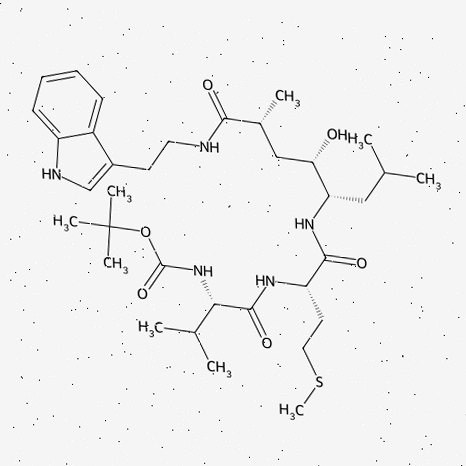 CSCC[C@H](NC(=O)[C@@H](NC(=O)OC(C)(C)C)C(C)C)C(=O)N[C@@H](CC(C)C)[C@@H](O)C[C@@H](C)C(=O)NCCc1c[nH]c2ccccc12